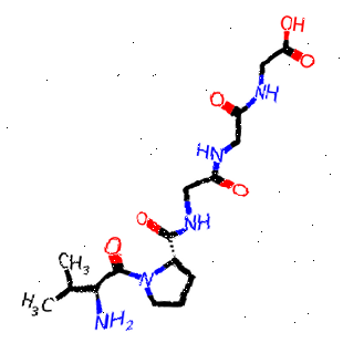 CC(C)[C@H](N)C(=O)N1CCC[C@H]1C(=O)NCC(=O)NCC(=O)NCC(=O)O